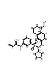 C=CC(=O)Nc1cccc(S(=O)(=O)N(Cc2ccc3c(c2)CCCN3CC)C2CCCC2)c1